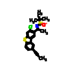 CC#Cc1ccc2sc3cc(Cl)c(C(C)=N[S@+]([O-])C(C)(C)C)cc3c2c1